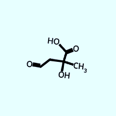 CC(O)(CC=O)C(=O)O